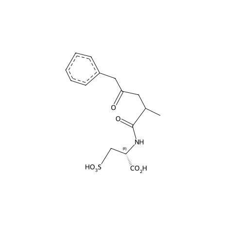 CC(CC(=O)Cc1ccccc1)C(=O)N[C@@H](CS(=O)(=O)O)C(=O)O